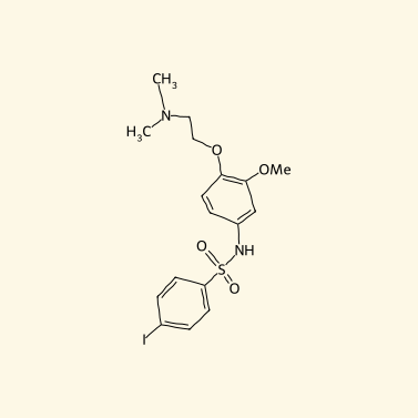 COc1cc(NS(=O)(=O)c2ccc(I)cc2)ccc1OCCN(C)C